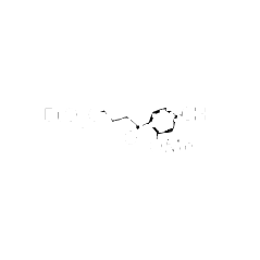 CCOC(=O)CCCC(=O)c1ccc(C)cc1OC